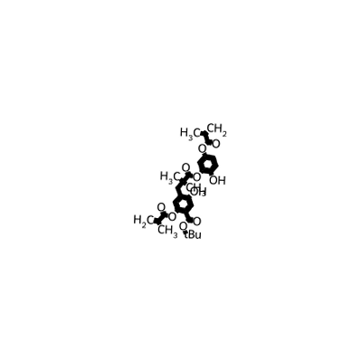 C=C(C)C(=O)Oc1ccc(O)c(OC(=O)C(C)(C)Cc2cc(OC(=O)C(=C)C)c(C(=O)OC(C)(C)C)cc2O)c1